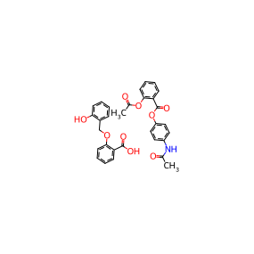 CC(=O)Nc1ccc(OC(=O)c2ccccc2OC(C)=O)cc1.O=C(O)c1ccccc1OCc1ccccc1O